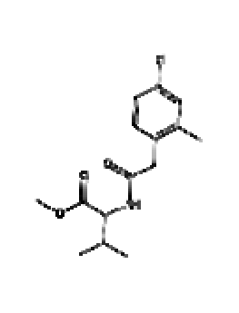 COC(=O)C(NC(=O)Cc1ccc(Cl)cc1C)C(C)C